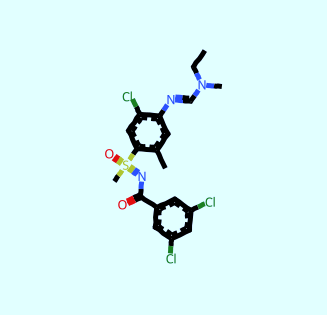 CCN(C)C=Nc1cc(C)c(S(C)(=O)=NC(=O)c2cc(Cl)cc(Cl)c2)cc1Cl